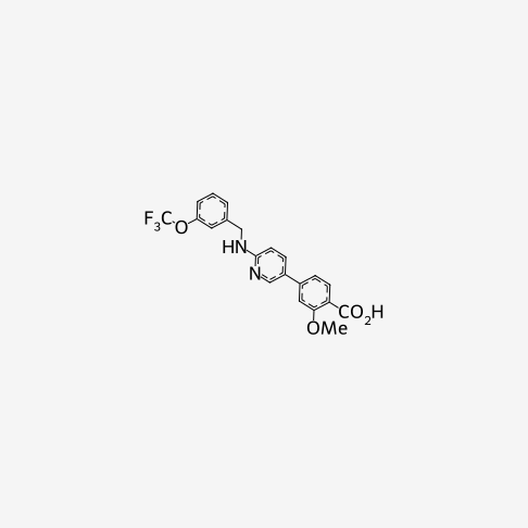 COc1cc(-c2ccc(NCc3cccc(OC(F)(F)F)c3)nc2)ccc1C(=O)O